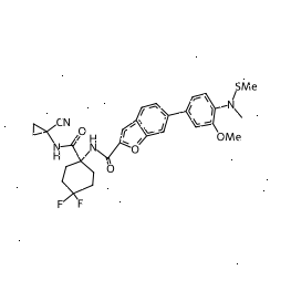 COc1cc(-c2ccc3cc(C(=O)NC4(C(=O)NC5(C#N)CC5)CCC(F)(F)CC4)oc3c2)ccc1N(C)SC